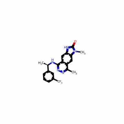 Cc1nnc(N[C@H](C)c2cccc(C(F)(F)F)c2)c2cc3[nH]c(=O)n(C)c3cc12